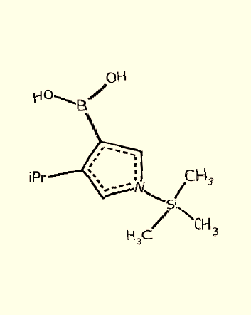 CC(C)c1cn([Si](C)(C)C)cc1B(O)O